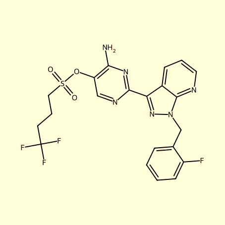 Nc1nc(-c2nn(Cc3ccccc3F)c3ncccc23)ncc1OS(=O)(=O)CCCC(F)(F)F